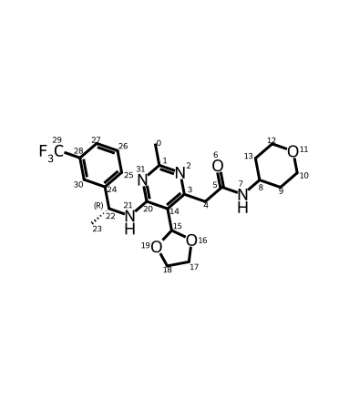 Cc1nc(CC(=O)NC2CCOCC2)c(C2OCCO2)c(N[C@H](C)c2cccc(C(F)(F)F)c2)n1